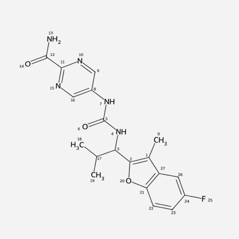 Cc1c(C(NC(=O)Nc2cnc(C(N)=O)nc2)C(C)C)oc2ccc(F)cc12